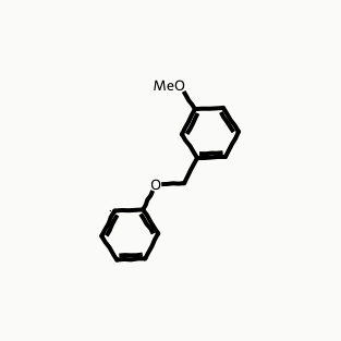 COc1cccc(COc2[c]cccc2)c1